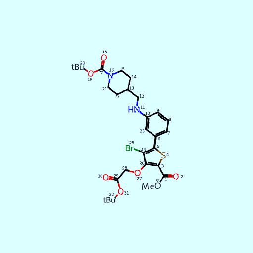 COC(=O)c1sc(-c2cccc(NCC3CCN(C(=O)OC(C)(C)C)CC3)c2)c(Br)c1OCC(=O)OC(C)(C)C